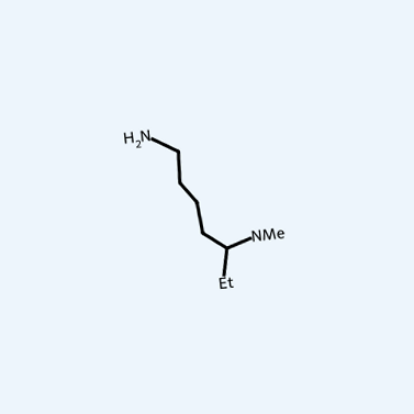 CCC(CCCCN)NC